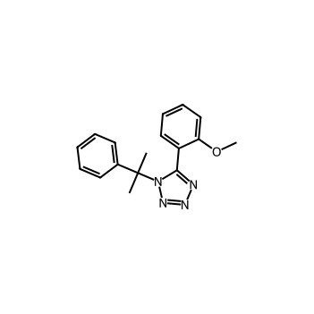 COc1ccccc1-c1nnnn1C(C)(C)c1ccccc1